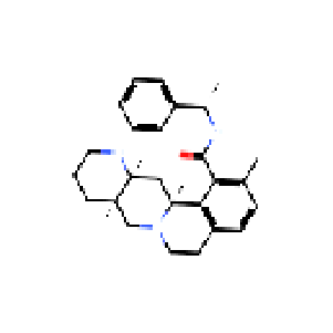 Cc1ccc2c(c1C(=O)N[C@H](C)c1ccccc1)[C@H]1C[C@H]3NCCC[C@H]3CN1CC2